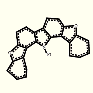 CC(C)n1c2c(ccc3oc4ccccc4c32)c2ccc3oc4ccccc4c3c21